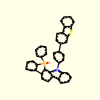 O=P1(c2ccccc2)c2ccccc2-c2ccc3c4ccccc4n(-c4ccc(-c5ccc6c(c5)sc5ccccc56)cc4)c3c21